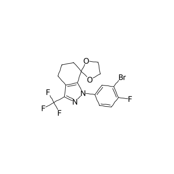 Fc1ccc(-n2nc(C(F)(F)F)c3c2C2(CCC3)OCCO2)cc1Br